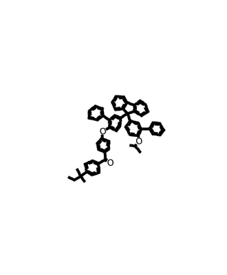 CCC(C)(C)c1ccc(C(=O)c2ccc(Oc3ccc(C4(c5ccc(OC(C)C)c(-c6ccccc6)c5)c5ccccc5-c5ccccc54)cc3-c3ccccc3)cc2)cc1